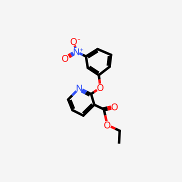 CCOC(=O)c1cccnc1Oc1cccc([N+](=O)[O-])c1